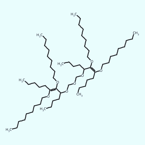 CCCCCCCCCOC(CCCCC)=C(OCCCCCCCCC)C(CCCC)OCOCOC(CCCC)C(OCCCCCCCCC)=C(CCCCC)OCCCCCCCCC